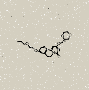 CCCOCCOc1ccc2c(c1)CCn1c-2cc(OC[C@@H]2COCCO2)nc1=O